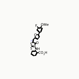 COc1ccc(-c2ccc(/C=C3/SC(=S)N(Nc4ccccc4C(=O)O)C3=O)o2)cc1F